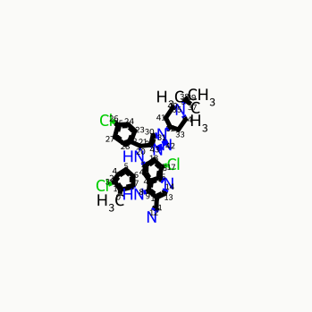 Cc1c(Cl)cccc1Nc1c(C#N)cnc2c(Cl)cc(N[C@@H](c3ccc(Cl)cc3)c3cn(C4CCN(C(C)(C)C)CC4)nn3)cc12